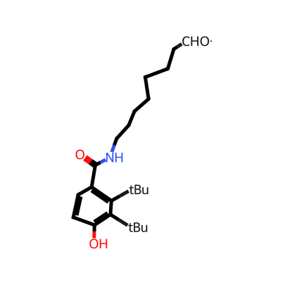 CC(C)(C)c1c(O)ccc(C(=O)NCCCCCCC[C]=O)c1C(C)(C)C